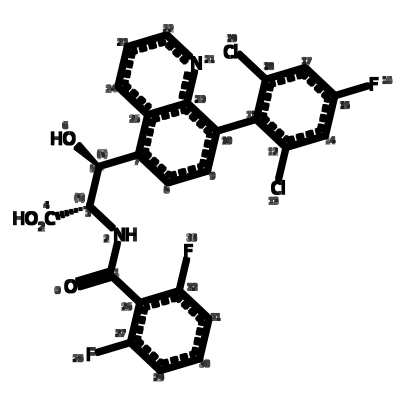 O=C(N[C@H](C(=O)O)[C@@H](O)c1ccc(-c2c(Cl)cc(F)cc2Cl)c2ncccc12)c1c(F)cccc1F